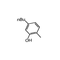 CCCCc1ccc(C)c(O)c1